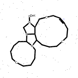 CCCCCCCCCCN1CN2C3C1CCC/C=C\CCCCCCC3N1CCCCCCCCCC12